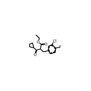 CCOC(=O)C(Cc1ccc(F)c(Cl)c1)C(=O)C1CCC1